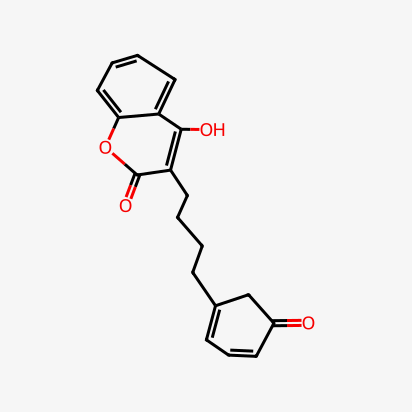 O=C1C=CC=C(CCCCc2c(O)c3ccccc3oc2=O)C1